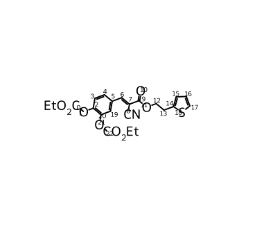 CCOC(=O)Oc1ccc(/C=C(\C#N)C(=O)OCCc2cccs2)cc1OC(=O)OCC